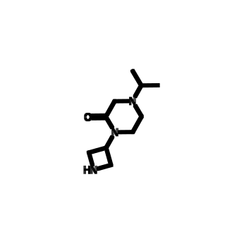 CC(C)N1CCN(C2CNC2)C(=O)C1